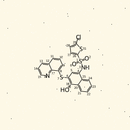 O=S(=O)(Nc1cc(Sc2cccc3cccnc23)c(O)c2ccccc12)c1ccc(Cl)s1